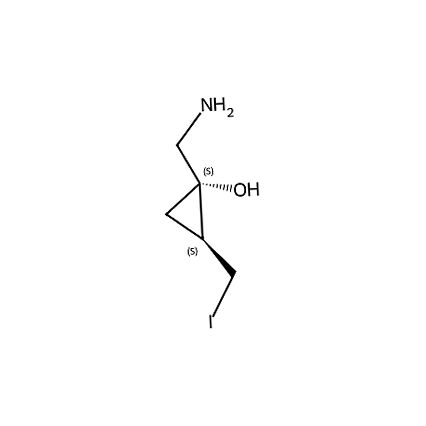 NC[C@]1(O)C[C@@H]1CI